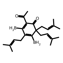 BC1=C(C(C)=O)C(=O)C(CC=C(C)C)(CC=C(C)C)C(B)=C1CC=C(C)C